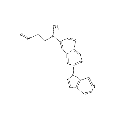 CN(CCN=O)c1ccc2cnc(-n3ccc4ccncc43)cc2c1